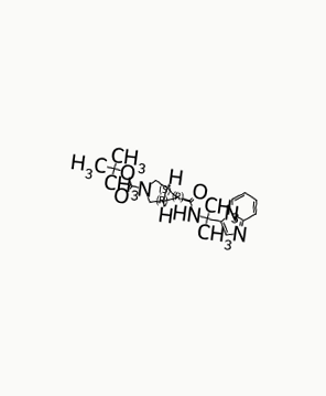 CC(C)(C)OC(=O)N1C[C@@H]2[C@H](C1)[C@H]2C(=O)NC(C)(C)c1cnc2ccccn12